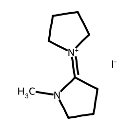 CN1CCCC1=[N+]1CCCC1.[I-]